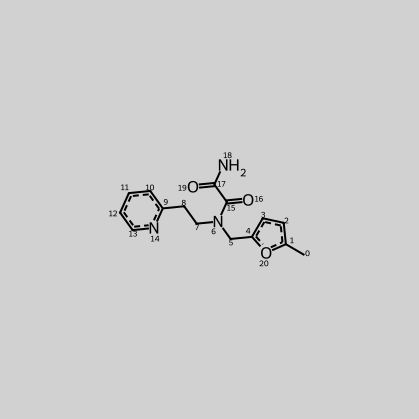 Cc1ccc(CN(CCc2ccccn2)C(=O)C(N)=O)o1